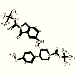 COc1ccc([C@@H]2CCN(C(=O)OC(C)(C)C)C[C@H]2CNc2ccc3c(c2)C(=O)N(C(=O)OC(C)(C)C)C3)cc1